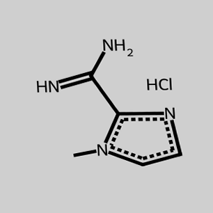 Cl.Cn1ccnc1C(=N)N